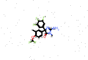 Cc1cc(C2(C3=CC(F)C(F)C(F)=C3)N=C(N)N(C)C2=O)ccc1OC(F)F